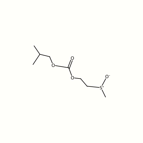 CC(C)COC(=O)OCC[S+](C)[O-]